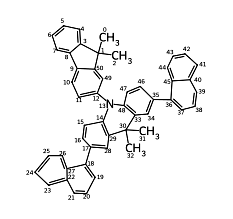 CC1(C)c2ccccc2-c2ccc(N3c4ccc(-c5cccc6ccccc56)cc4C(C)(C)c4cc(-c5cccc6ccccc56)ccc43)cc21